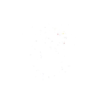 O=S(=O)(O)c1ccc(F)c(-c2c(-c3c(F)ccc(S(=O)(=O)O)c3F)c3c(-c4c(F)ccc(S(=O)(=O)O)c4F)c4nc(cc5ccc(cc6nc(cc2n3-c2c(F)ccc(S(=O)(=O)O)c2F)C=C6)[nH]5)C=C4)c1F